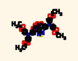 CCC(=O)Oc1ccc(N(c2ccc(OC(=O)CC)cc2)c2ccc(-c3c([N+](=O)[O-])c([N+](=O)[O-])c(-c4ccc(N(c5ccc(OC(=O)CC)cc5)c5ccc(OC(=O)CC)cc5)cc4)c4nsnc34)cc2)cc1